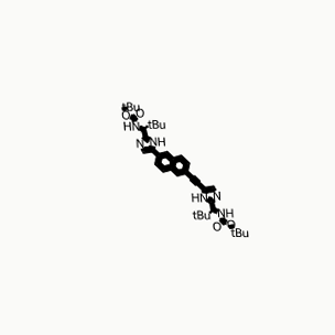 CC(C)(C)OC(=O)N[C@H](c1ncc(C#Cc2ccc3cc(-c4cnc([C@@H](NC(=O)OC(C)(C)C)C(C)(C)C)[nH]4)ccc3c2)[nH]1)C(C)(C)C